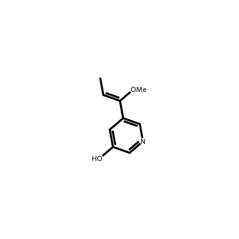 CC=C(OC)c1cncc(O)c1